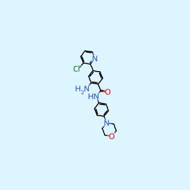 Nc1cc(-c2ncccc2Cl)ccc1C(=O)Nc1ccc(N2CCOCC2)cc1